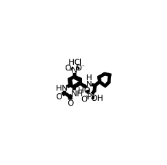 Cl.O=c1[nH]c2cc([N+](=O)[O-])cc(CNC(CP(=O)(O)O)C3CCCCC3)c2[nH]c1=O